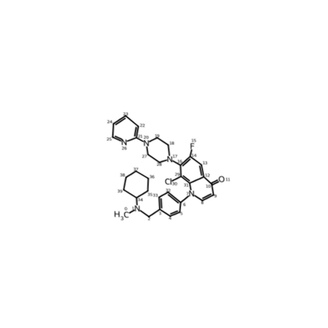 CN(Cc1ccc(-n2ccc(=O)c3cc(F)c(N4CCN(c5ccccn5)CC4)c(Cl)c32)cc1)C1CCCCC1